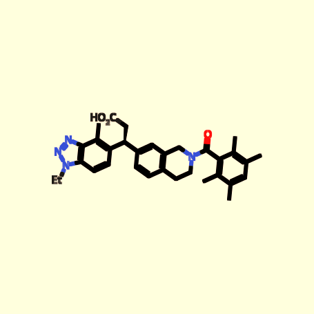 CCn1nnc2c(C)c([C@@H](CC(=O)O)c3ccc4c(c3)CN(C(=O)c3c(C)c(C)cc(C)c3C)CC4)ccc21